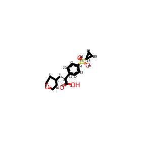 O=C(O)[C@H](CC1CCOCC1)c1ccc(S(=O)(=O)C2CC2)cc1